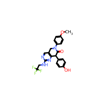 COc1ccc(N2Cc3cnc(NCC(F)(F)F)nc3C(c3ccc(O)cc3)C2=O)cc1